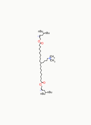 CCCCC(C/C=C\COC(=O)CCCCCCCCCC(CCCCCCCCCC(=O)OC/C=C\CC(CCCC)CCCC)CCCCN(C)C)CCCC